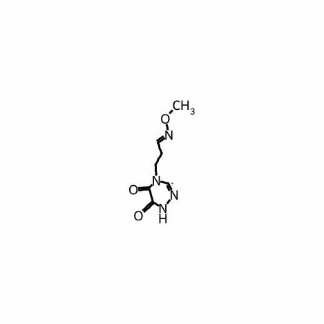 CON=CCCn1[c]n[nH]c(=O)c1=O